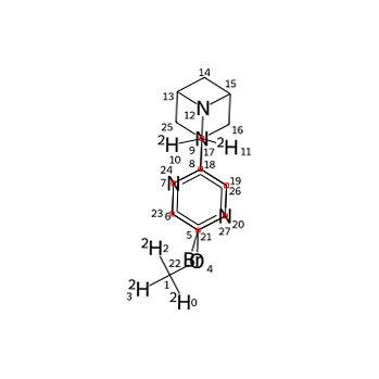 [2H]C([2H])([2H])Oc1ccc(C([2H])([2H])N2C3CC2CN(c2ccc(Br)cn2)C3)cn1